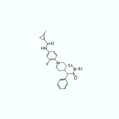 CCN(CC)C(=O)C(c1ccccc1)C1CCN(c2ccc(NC(=O)C3CC3C)cc2F)CC1